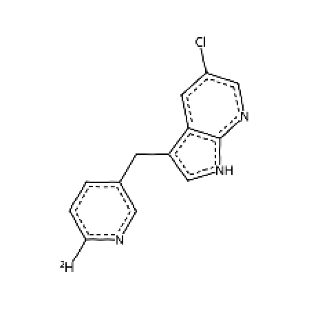 [2H]c1ccc(Cc2c[nH]c3ncc(Cl)cc23)cn1